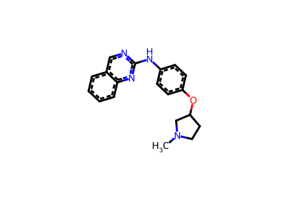 CN1CCC(Oc2ccc(Nc3ncc4ccccc4n3)cc2)C1